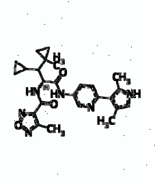 Cc1c[nH]c(C)c1-c1ccc(NC(=O)[C@@H](NC(=O)c2nonc2C)C(C2CC2)C2(C)CC2)cn1